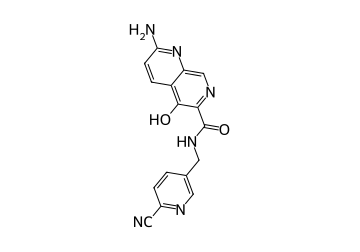 N#Cc1ccc(CNC(=O)c2ncc3nc(N)ccc3c2O)cn1